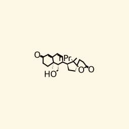 CCC[C@@]1(C)[C@H]([C@@H]2C=CC3=CC(=O)CC[C@]3(C)[C@H]2CO)CC[C@@]12CCC(=O)O2